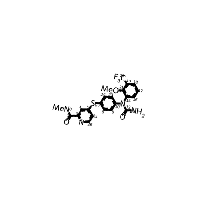 CNC(=O)c1cc(Sc2ccc(N(C(N)=O)c3cccc(C(F)(F)F)c3OC)cc2)ccn1